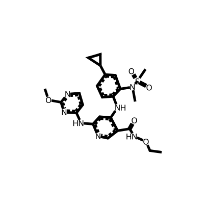 CCONC(=O)c1cnc(Nc2ccnc(OC)n2)cc1Nc1ccc(C2CC2)cc1N(C)S(C)(=O)=O